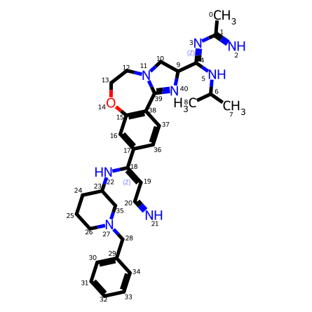 CC(=N)/N=C(\NC(C)C)C1CN2CCOc3cc(/C(=C/C=N)NC4CCCN(Cc5ccccc5)C4)ccc3C2=N1